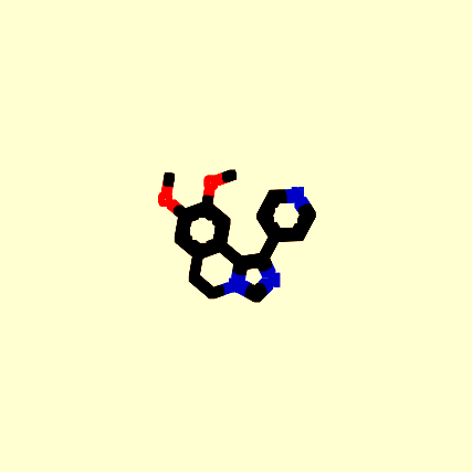 COc1cc2c(cc1OC)-c1c(-c3ccncc3)ncn1CC2